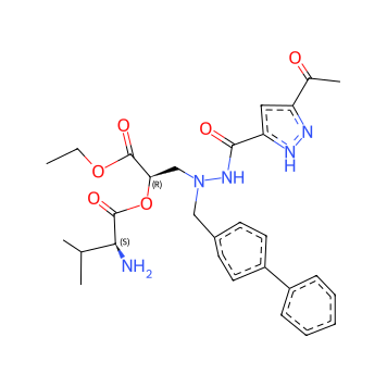 CCOC(=O)[C@@H](CN(Cc1ccc(-c2ccccc2)cc1)NC(=O)c1cc(C(C)=O)n[nH]1)OC(=O)[C@@H](N)C(C)C